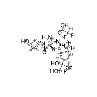 O=C(O)C(F)(F)F.[2H]C([2H])([2H])c1ccc([C@](O)(CO)C(F)(F)F)cc1-c1cnc(N)c(C(=O)NC23CCC(O)(C2)C3)n1